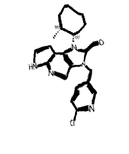 C[C@@H]1CCCC[C@@H]1n1c(=O)n(Cc2ccc(Cl)nc2)c2cnc3[nH]ccc3c21